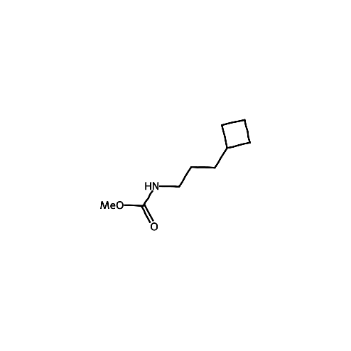 COC(=O)NCCCC1CCC1